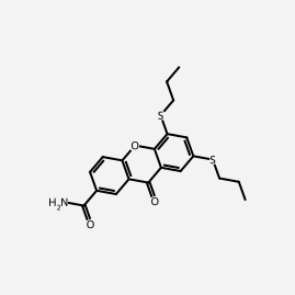 CCCSc1cc(SCCC)c2oc3ccc(C(N)=O)cc3c(=O)c2c1